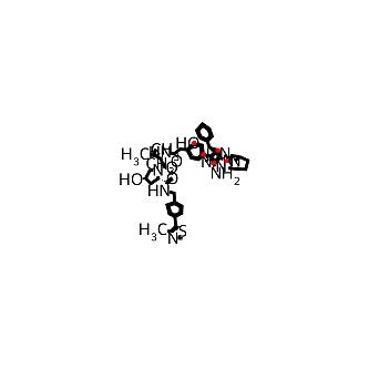 Cc1ncsc1-c1ccc(CNC(=O)[C@@H]2C[C@@H](O)CN2C(=O)[C@@H](NC(=O)Cc2ccc(-c3cnc(N4C5CCC4CN(c4cc(-c6ccccc6O)nnc4N)C5)nc3)cc2)C(C)(C)C)cc1